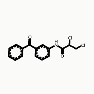 O=C(c1ccccc1)c1cccc(NC(=O)C(Cl)CCl)c1